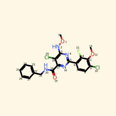 CONc1nc(-c2ccc(Cl)c(OC)c2F)nc(C(=O)NCc2ccccc2)c1Cl